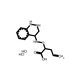 C=CCC(ONC1CNNc2ccccc21)C(=O)O.Cl.Cl